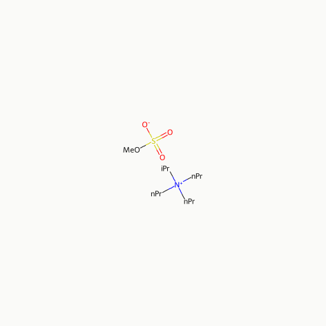 CCC[N+](CCC)(CCC)C(C)C.COS(=O)(=O)[O-]